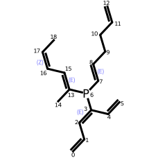 C=C/C=C(\C=C)P(/C=C/CCC=C)/C(C)=C/C=C\C